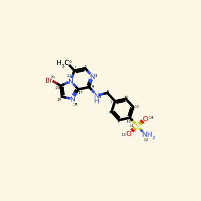 Cc1cnc(NCc2ccc(S(N)(=O)=O)cc2)c2ncc(Br)n12